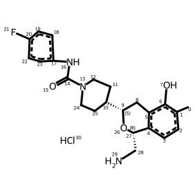 Cc1ccc2c(c1O)C[C@@H](C1CCN(C(=O)Nc3ccc(F)cc3)CC1)O[C@H]2CN.Cl